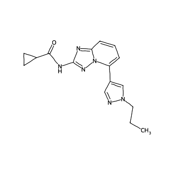 CCCn1cc(-c2cccc3nc(NC(=O)C4CC4)nn23)cn1